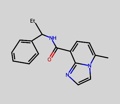 CCC(NC(=O)c1ccc(C)n2ccnc12)c1ccccc1